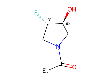 CCC(=O)N1C[C@H](O)[C@@H](F)C1